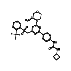 C[C@H]1COCCN1c1cc(CS(=O)(=O)c2ccccc2C(F)(F)F)nc(-c2ccc(NC(=O)NC3CCC3)cc2)n1